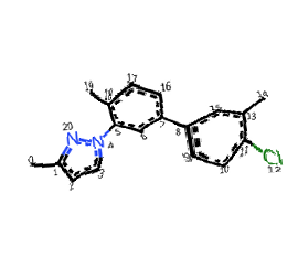 Cc1ccn(-c2cc(-c3ccc(Cl)c(C)c3)ccc2C)n1